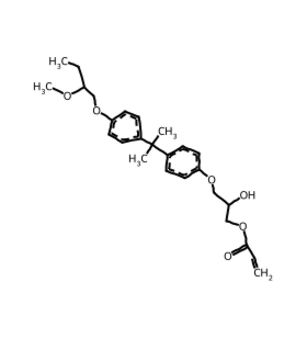 C=CC(=O)OCC(O)COc1ccc(C(C)(C)c2ccc(OCC(CC)OC)cc2)cc1